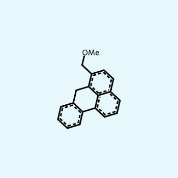 COCc1ccc2cccc3c2c1Cc1ccccc1-3